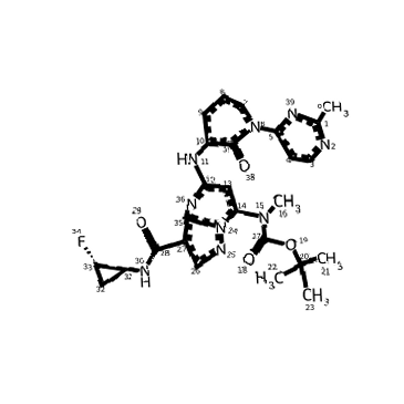 Cc1nccc(-n2cccc(Nc3cc(N(C)C(=O)OC(C)(C)C)n4ncc(C(=O)NC5C[C@@H]5F)c4n3)c2=O)n1